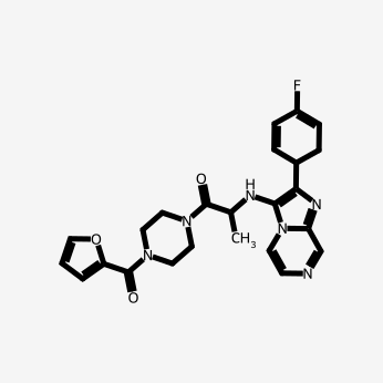 CC(Nc1c(C2C=CC(F)=CC2)nc2cnccn12)C(=O)N1CCN(C(=O)c2ccco2)CC1